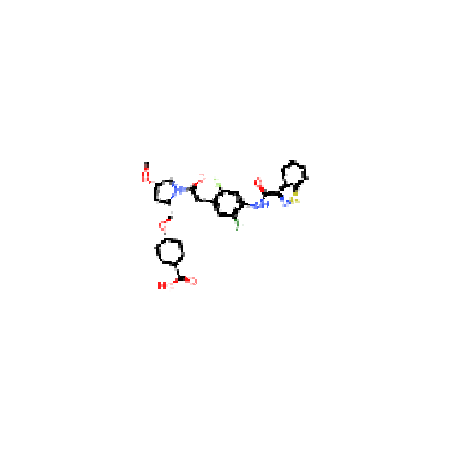 CO[C@H]1C[C@@H](CO[C@H]2CC[C@H](C(=O)O)CC2)N(C(=O)Cc2cc(Cl)c(NC(=O)c3nsc4ccccc34)cc2F)C1